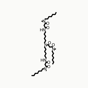 CCCCCCCN(C)C(=O)CC(=O)NCCCCCCN(CCCCCCNC(=O)CC(=O)N(C)CCCCCCC)C(=O)CC(=O)N(C)CCCCCCC